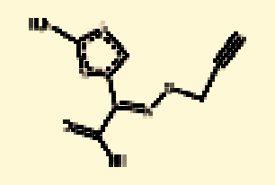 C#CCO/N=C(/C([NH])=O)c1csc(N)n1